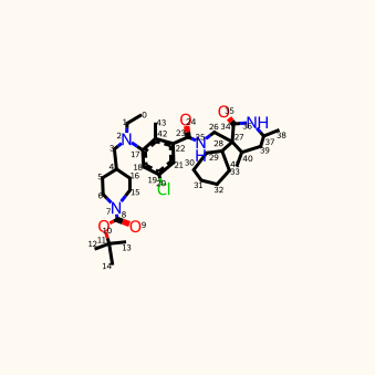 CCN(CC1CCN(C(=O)OC(C)(C)C)CC1)c1cc(Cl)cc(C(=O)NCC2(C3CCCCC3)C(=O)NC(C)CC2C)c1C